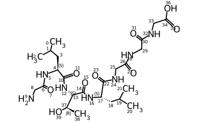 CC(C)C[C@H](NC(=O)CN)C(=O)N[C@H](C(=O)N[C@@H](CC(C)C)C(=O)NCC(=O)NCC(=O)NCC(=O)O)[C@@H](C)O